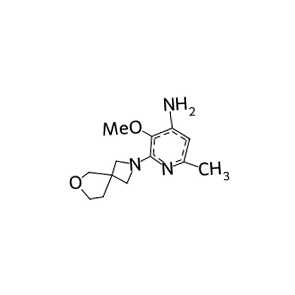 COc1c(N)cc(C)nc1N1CC2(CCOC2)C1